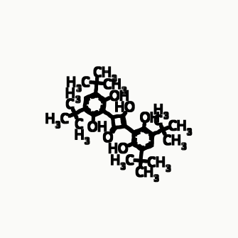 CC(C)(C)c1cc(C(C)(C)C)c(O)c(C2=C(O)C(c3c(O)c(C(C)(C)C)cc(C(C)(C)C)c3O)C2=O)c1O